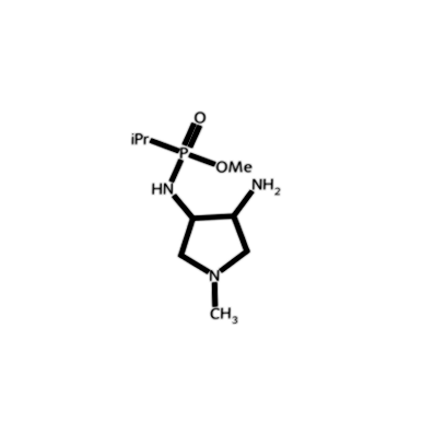 COP(=O)(NC1CN(C)CC1N)C(C)C